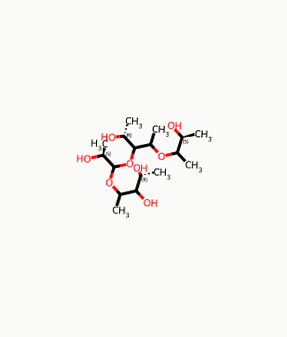 CC(OC(OC(C(C)OC(C)[C@H](C)O)[C@@H](C)O)[C@H](C)O)C(O)[C@@H](C)O